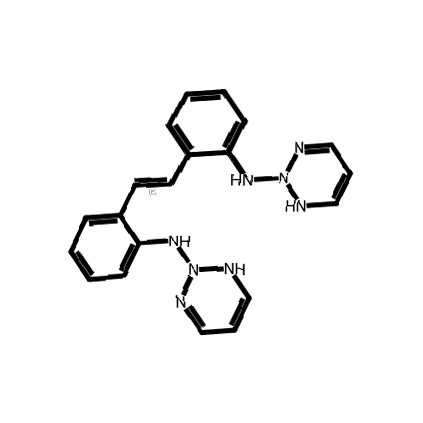 C1=CNN(Nc2ccccc2/C=C/c2ccccc2NN2N=CC=CN2)N=C1